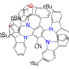 CC(C)(C)c1ccc2c3ccccc3n(-c3c(C#N)c(-n4c5ccccc5c5ccc(C(C)(C)C)cc54)c(-n4c5ccccc5c5ccc(C(C)(C)C)cc54)c(-c4cccc5oc6ccccc6c45)c3-n3c4ccccc4c4ccc(C(C)(C)C)cc43)c2c1